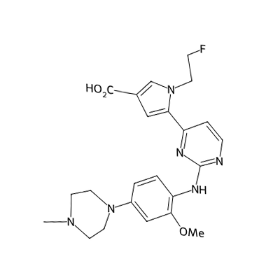 COc1cc(N2CCN(C)CC2)ccc1Nc1nccc(-c2cc(C(=O)O)cn2CCF)n1